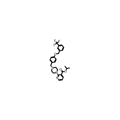 CC(C)OC(=O)c1cccnc1N1CCN(Cc2ccc(OCc3cccc(C(F)(F)F)c3)cc2)CC1